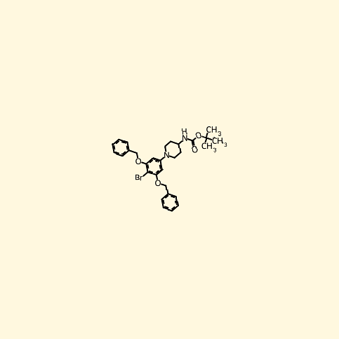 CC(C)(C)OC(=O)NC1CCN(c2cc(OCc3ccccc3)c(Br)c(OCc3ccccc3)c2)CC1